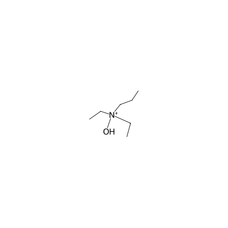 CCC[N+](O)(CC)CC